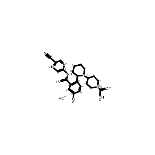 Cl.N#Cc1cnc(NC(=O)c2cc(Cl)ccc2C2CCCCN2C2CCN(C(=O)O)CC2)cn1